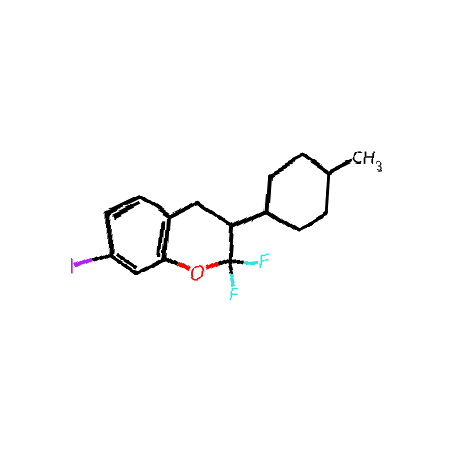 CC1CCC(C2Cc3ccc(I)cc3OC2(F)F)CC1